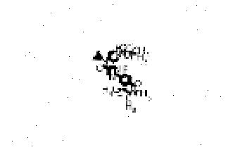 COCC(C)N(C)C(=O)c1ccc(-c2ncc(C(=O)N(C3CC3)C3CCN(C(=O)OC(C)(C)C)CC3)cn2)c(F)c1